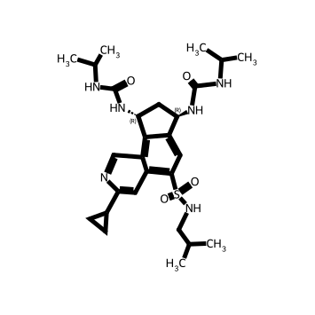 CC(C)CNS(=O)(=O)c1cc2c(c3cnc(C4CC4)cc13)[C@H](NC(=O)NC(C)C)C[C@H]2NC(=O)NC(C)C